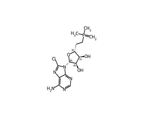 C=P(C)(C)CC[C@H]1O[C@@H](n2c(Cl)nc3c(N)ncnc32)[C@H](O)[C@@H]1O